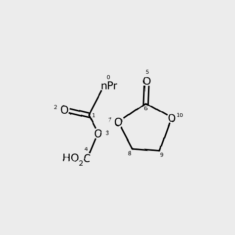 CCCC(=O)OC(=O)O.O=C1OCCO1